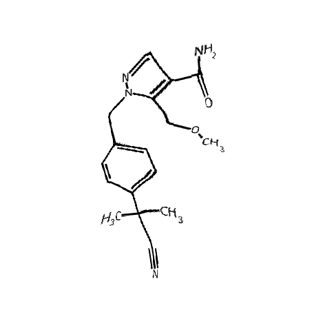 COCc1c(C(N)=O)cnn1Cc1ccc(C(C)(C)C#N)cc1